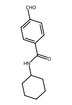 O=Cc1ccc(C(=O)NC2CCCCC2)cc1